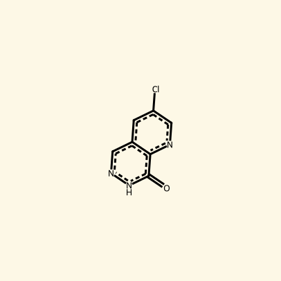 O=c1[nH]ncc2cc(Cl)cnc12